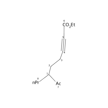 CCCC(CCC#CC(=O)OCC)C(C)=O